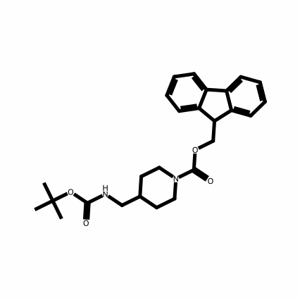 CC(C)(C)OC(=O)NCC1CCN(C(=O)OCC2c3ccccc3-c3ccccc32)CC1